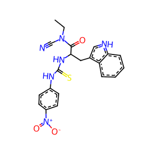 CCN(C#N)C(=O)C(Cc1c[nH]c2ccccc12)NC(=S)Nc1ccc([N+](=O)[O-])cc1